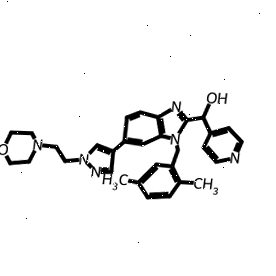 Cc1ccc(C)c(Cn2c(C(O)c3ccncc3)nc3ccc(-c4cnn(CCN5CCOCC5)c4)cc32)c1